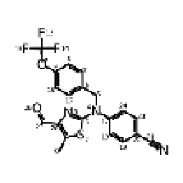 Cc1sc(N(Cc2ccc(OC(F)(F)F)cc2)c2ccc(C#N)cc2)nc1C=O